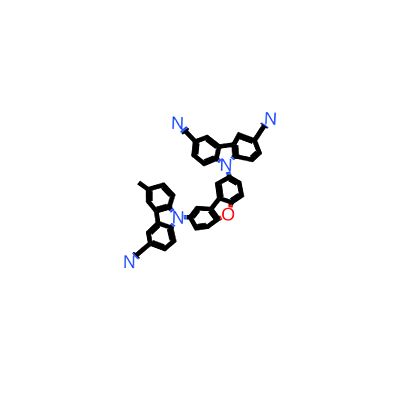 Cc1ccc2c(c1)c1cc(C#N)ccc1n2-c1ccc2oc3ccc(-n4c5ccc(C#N)cc5c5cc(C#N)ccc54)cc3c2c1